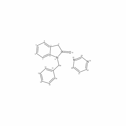 O=C1Cc2ccccc2N1Cc1ccccc1.c1cncnc1